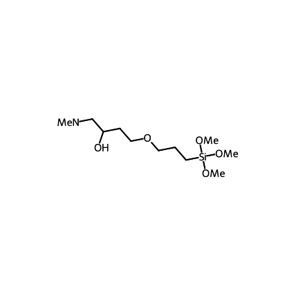 CNCC(O)CCOCCC[Si](OC)(OC)OC